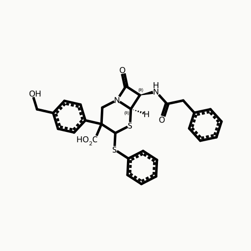 O=C(Cc1ccccc1)N[C@@H]1C(=O)N2CC(C(=O)O)(c3ccc(CO)cc3)C(Sc3ccccc3)S[C@H]12